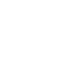 CN(PF)C1CCCCC1